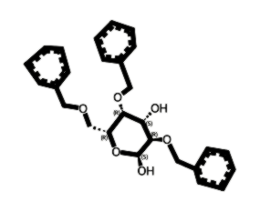 O[C@@H]1[C@@H](OCc2ccccc2)[C@@H](O)O[C@H](COCc2ccccc2)[C@@H]1OCc1ccccc1